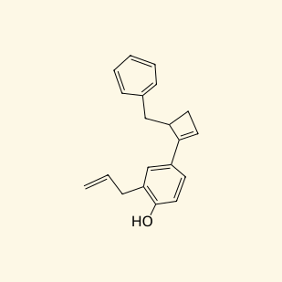 C=CCc1cc(C2=CCC2Cc2ccccc2)ccc1O